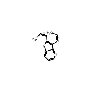 C/C=C\c1oc2cccnc2c1/N=C\C